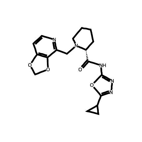 O=C(Nc1nnc(C2CC2)o1)[C@H]1CCCCN1Cc1nccc2c1OCO2